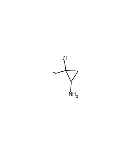 NC1CC1(F)Cl